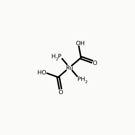 O=[C](O)[Ru]([PH2])([PH2])[C](=O)O